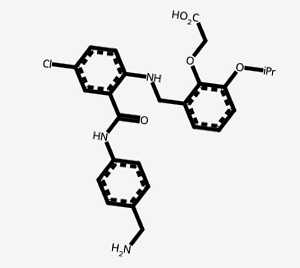 CC(C)Oc1cccc(CNc2ccc(Cl)cc2C(=O)Nc2ccc(CN)cc2)c1OCC(=O)O